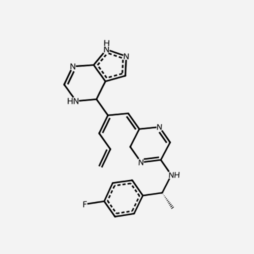 C=C/C=C(\C=C1/CN=C(N[C@H](C)c2ccc(F)cc2)C=N1)C1NC=Nc2[nH]ncc21